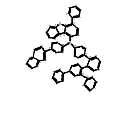 c1ccc(-c2ccc(-c3ccccc3-c3ccc(N(c4ccc(-c5ccc6ccccc6c5)cc4)c4ccc(-c5ccccc5)c5oc6ccccc6c45)cc3)c(-c3ccccc3)c2)cc1